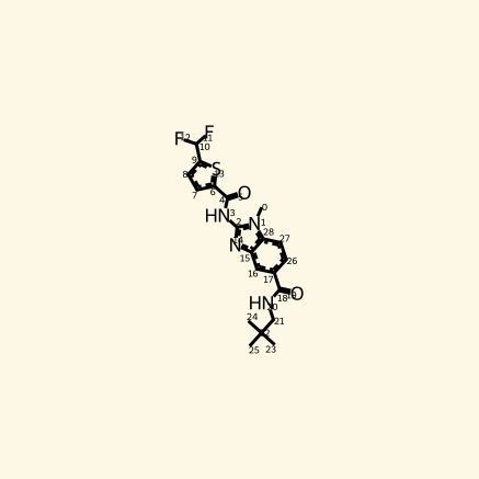 Cn1c(NC(=O)c2ccc(C(F)F)s2)nc2cc(C(=O)NCC(C)(C)C)ccc21